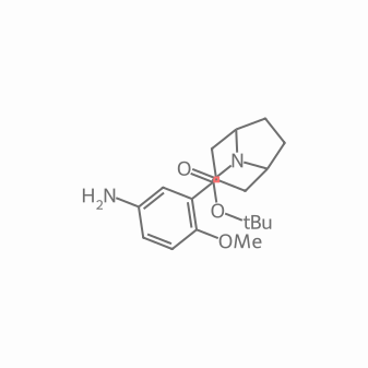 COc1ccc(N)cc1C1CC2CCC(C1)N2C(=O)OC(C)(C)C